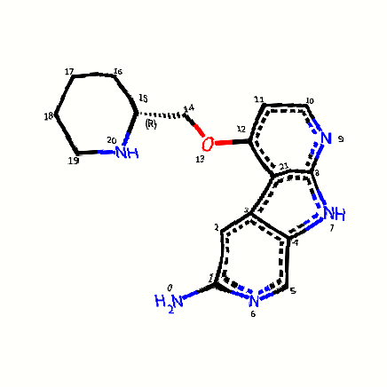 Nc1cc2c(cn1)[nH]c1nccc(OC[C@H]3CCCCN3)c12